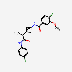 COc1cc(C(=O)NC23CC([C@H](C)C(=O)Nc4ccc(F)cc4)(C2)C3)ccc1F